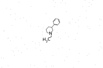 C=CN1CCCC(c2ccccc2)C1